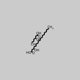 CCCCC(O)CC(=O)O.CCCCCCCCCCCCCCCC(O)CC(=O)O